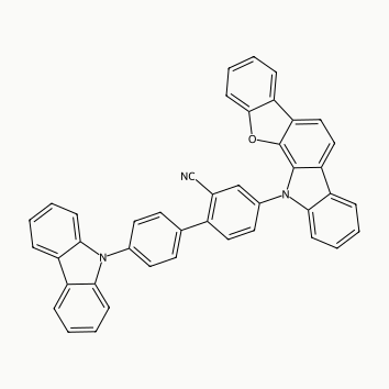 N#Cc1cc(-n2c3ccccc3c3ccc4c5ccccc5oc4c32)ccc1-c1ccc(-n2c3ccccc3c3ccccc32)cc1